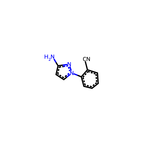 N#Cc1ccccc1-n1ccc(N)n1